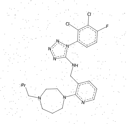 CC(C)CN1CCCN(c2ncccc2CNc2nnnn2-c2ccc(F)c(Cl)c2Cl)CC1